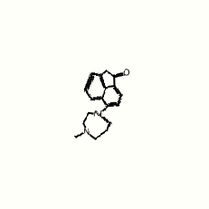 CN1CCCN(c2ccc3c4c(cccc24)CC3=O)CC1